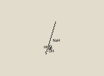 CCCCCCCCCCCCCCCCCC(=O)NC(CCSC)C(=O)O.[NaH]